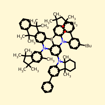 Cc1cc2c(cc1N1c3cc4c(cc3B3c5cc6c(cc5N(c5ccc(C(C)(C)C)cc5-c5ccccc5)c5cc(N7c8ccc(-c9ccccc9)cc8C8(C)CCCCC78C)cc1c53)C(C)(C)CC6(C)C)C(C)(C)c1ccccc1C4(C)C)C(C)(C)CC2(C)C